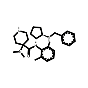 Cc1cccc(C)c1N(C(=O)C1(N(C)C)CCNCC1)[C@@H]1CCC[C@H]1NCc1ccccc1